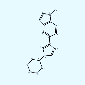 Cn1ccc2cc(-c3ncn(C4CCCCO4)n3)ccc21